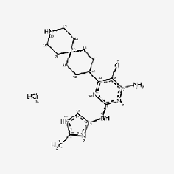 Cc1nc(Nc2nc(N)c(Cl)c(C3CCC4(CCNCC4)CC3)n2)c[nH]1.Cl